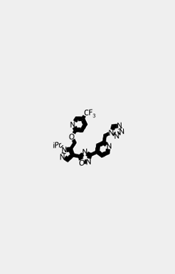 CC(C)n1ncc(-c2nc(-c3ccnc(Cn4cnnn4)c3)no2)c1COc1ccc(C(F)(F)F)cn1